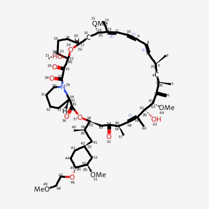 C=C1[C@H](C)C[C@H](C)/C=C/C=C/C=C(\C)[C@@H](OC)C[C@@H]2CC[C@@H](C)[C@@](O)(O2)C(=O)C(=O)N2CCCC[C@H]2C(=O)O[C@H]([C@H](C)C[C@@H]2CC[C@@H](OCCOC)[C@H](OC)C2)CC(=O)[C@H](C)/C=C(\C)[C@@H](O)[C@H]1OC